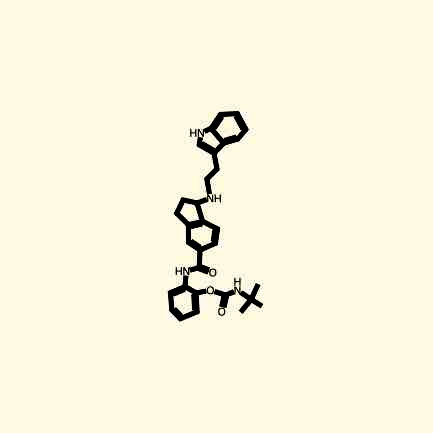 CC(C)(C)NC(=O)Oc1ccccc1NC(=O)c1ccc2c(c1)CCC2NCCc1c[nH]c2ccccc12